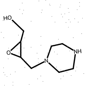 OCC1OC1CN1CCNCC1